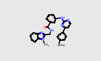 CC(=O)Nc1ccc(-c2ccnc(Nc3cccc(C(=O)NCc4nc5ccccc5n4C)c3)n2)cc1